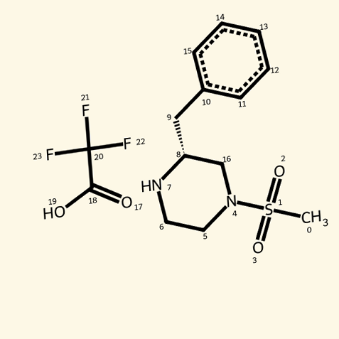 CS(=O)(=O)N1CCN[C@H](Cc2ccccc2)C1.O=C(O)C(F)(F)F